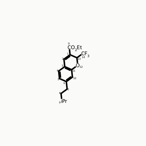 CCOC(=O)C1=Cc2ccc(CCC(C)C)cc2OC1C(F)(F)F